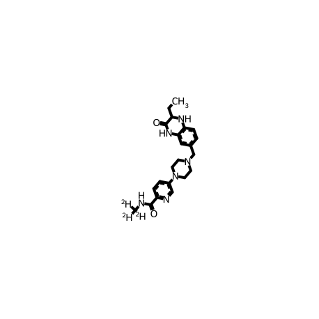 [2H]C([2H])([2H])NC(=O)c1ccc(N2CCN(Cc3ccc4c(c3)NC(=O)C(CC)N4)CC2)cn1